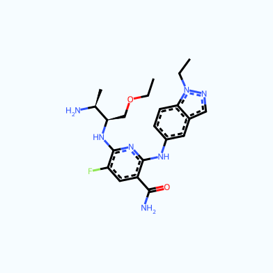 CCOC[C@@H](Nc1nc(Nc2ccc3c(cnn3CC)c2)c(C(N)=O)cc1F)[C@H](C)N